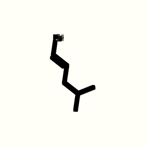 CC(C)CC=[CH][Pb]